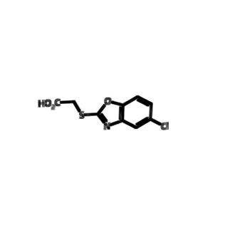 O=C(O)CSc1nc2cc(Cl)ccc2o1